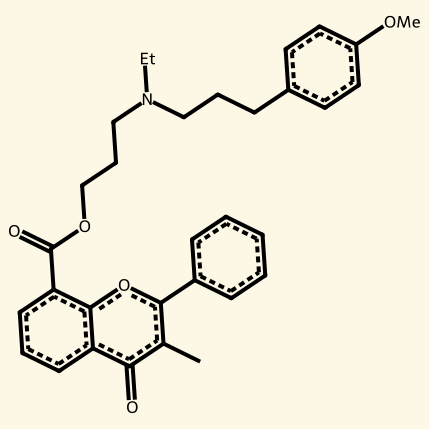 CCN(CCCOC(=O)c1cccc2c(=O)c(C)c(-c3ccccc3)oc12)CCCc1ccc(OC)cc1